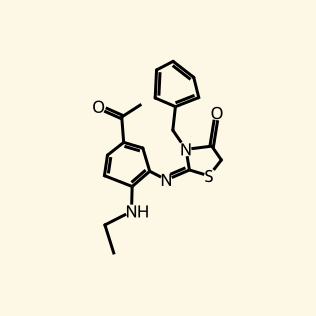 CCNc1ccc(C(C)=O)cc1/N=C1/SCC(=O)N1Cc1ccccc1